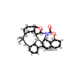 CC(C)(C)Cc1cccc2c1B1c3ccc4cccc5c4c3N(C(=O)O5)c3oc4ccc(cc4c31)C(C)(C)C2